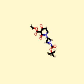 CCOC(=O)C1C(=O)CCN(C2CN(C(=O)OC(C)(C)C)C2)C1=O